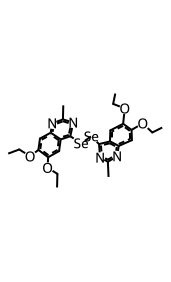 CCOc1cc2nc(C)nc([Se][Se]c3nc(C)nc4cc(OCC)c(OCC)cc34)c2cc1OCC